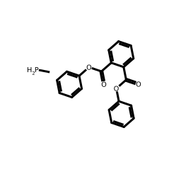 CP.O=C(Oc1ccccc1)c1ccccc1C(=O)Oc1ccccc1